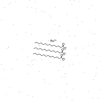 CCCCCCCCCCCCCC(=O)[O-].CCCCCCCCCCCCCC(=O)[O-].CCCCCCCCCCCCCC(=O)[O-].[Au+3]